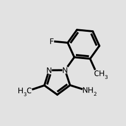 Cc1cc(N)n(-c2c(C)cccc2F)n1